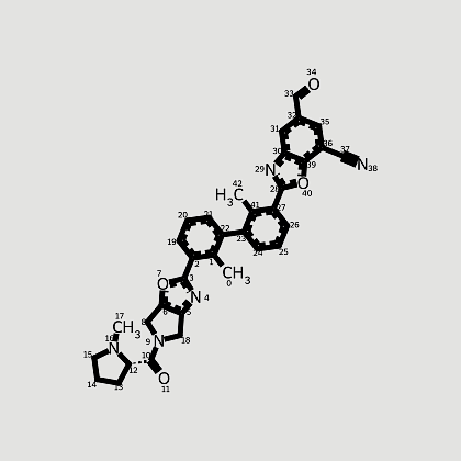 Cc1c(-c2nc3c(o2)CN(C(=O)[C@@H]2CCCN2C)C3)cccc1-c1cccc(-c2nc3cc(C=O)cc(C#N)c3o2)c1C